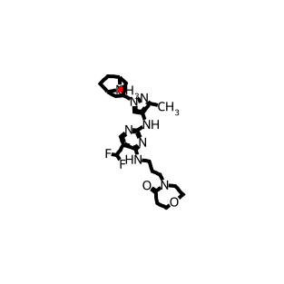 Cc1nn(C2CC3CCC(C2)N3C)cc1Nc1ncc(C(F)F)c(NCCCN2CCOCCC2=O)n1